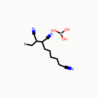 N#CCCCCCC(C#N)C(C#N)[CH2][K].OB(O)O